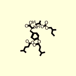 CCC(C)COC(=O)OC(C)CN[C@@H](Cc1ccc(OC(=O)CCC(C)C)c(OC(=O)CCC(C)C)c1)C(=O)O